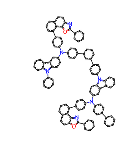 c1ccc(-c2ccc(N(c3ccc(-c4cccc5ccc6oc(-c7ccccc7)nc6c45)cc3)c3ccc4c(c3)c3ccccc3n4-c3ccc(-c4cccc(-c5ccc(N(c6ccc(-c7cccc8ccc9nc(-c%10ccccc%10)oc9c78)cc6)c6ccc7c(c6)c6ccccc6n7-c6ccccc6)cc5)c4)cc3)cc2)cc1